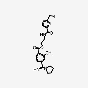 Cc1cc(C(=N)N2CCCC2)ccc1C(=O)SCCNC(=O)c1ccc(CI)s1